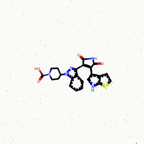 O=C1NC(=O)C(c2nn(C3CCN(C(=O)O)CC3)c3ccccc23)=C1c1c[nH]c2sccc12